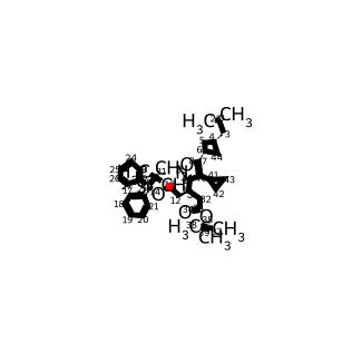 CC(C)C[C@H]1C[C@@H](c2onc([C@H](CCO[Si](c3ccccc3)(c3ccccc3)C(C)(C)C)CC(=O)OC(C)(C)C)c2C2CC2)C1